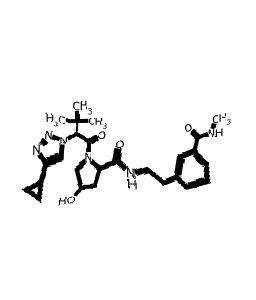 CNC(=O)c1cccc(CCNC(=O)C2CC(O)CN2C(=O)[C@@H](n2cc(C3CC3)nn2)C(C)(C)C)c1